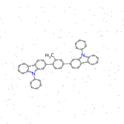 Cc1cc(-c2ccc3c4ccccc4n(-c4ccccc4)c3c2)ccc1-c1ccc2c3ccccc3n(-c3ccccc3)c2c1